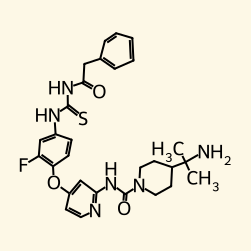 CC(C)(N)C1CCN(C(=O)Nc2cc(Oc3ccc(NC(=S)NC(=O)Cc4ccccc4)cc3F)ccn2)CC1